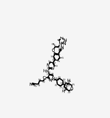 C[C@@H](Cn1cnnn1)Oc1cc(-c2cnc(Nc3cn(C4CCC(N5[C@@H]6CC[C@H]5COC6)CC4)nc3OCCCC#N)nc2)ccc1C#N